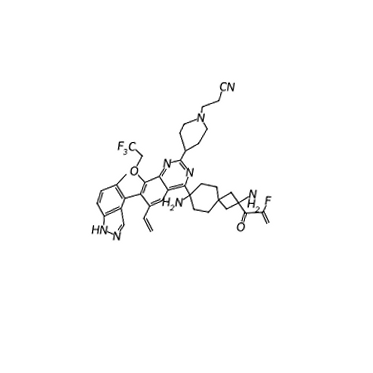 C=Cc1cc2c(C3(N)CCC4(CC3)CC(N)(C(=O)C(=C)F)C4)nc(C3CCN(CCC#N)CC3)nc2c(OCC(F)(F)F)c1-c1c(C)ccc2[nH]ncc12